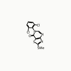 CSc1nc2ncn(-c3c(Cl)cccc3Cl)c(=O)c2s1